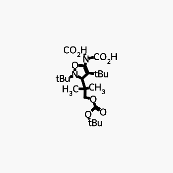 CC(C)(C)OC(=O)OCC(C)(C)C1C(C(C)(C)C)=C(N(C(=O)O)C(=O)O)ON1C(C)(C)C